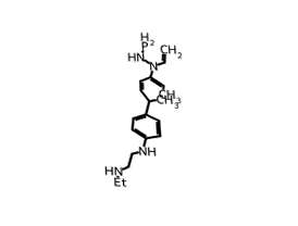 C=CN(NP)C(/C=C\C(C)c1ccc(NCCNCC)cc1)=C/C